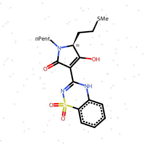 CCCCCN1C(=O)C(C2=NS(=O)(=O)c3ccccc3N2)=C(O)[C@@H]1CCSC